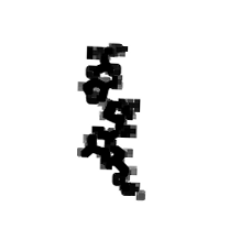 Cc1cnc(Nc2cc([C@@H]3OC[C@H](OC(=O)NC(C)C)[C@H]3F)[nH]n2)n2cc(COC(F)(F)F)nc12